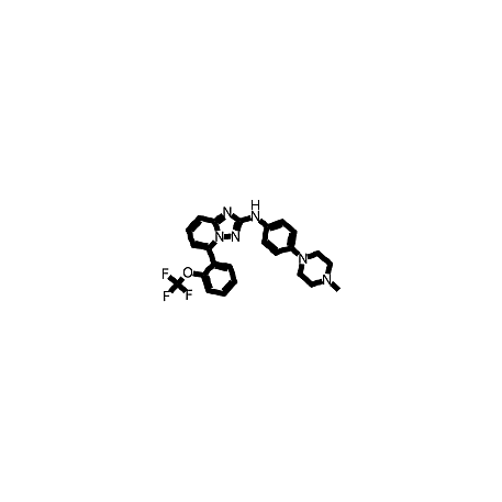 CN1CCN(c2ccc(Nc3nc4cccc(-c5ccccc5OC(F)(F)F)n4n3)cc2)CC1